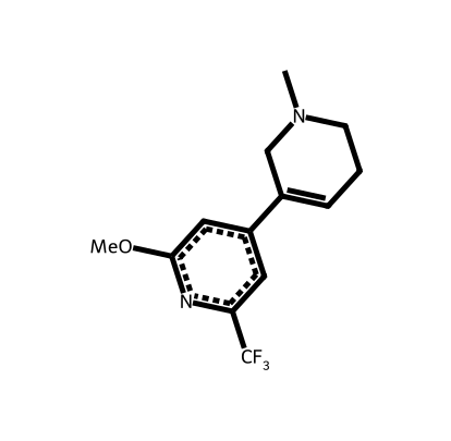 COc1cc(C2=CCCN(C)C2)cc(C(F)(F)F)n1